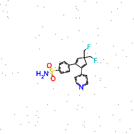 NS(=O)(=O)c1ccc(C2=CC(CF)(CF)C=C2c2ccncc2)cc1